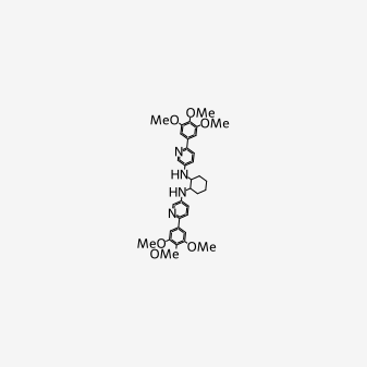 COc1cc(-c2ccc(NC3CCCCC3Nc3ccc(-c4cc(OC)c(OC)c(OC)c4)nc3)cn2)cc(OC)c1OC